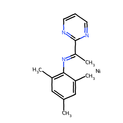 CC(=Nc1c(C)cc(C)cc1C)c1ncccn1.[Ni]